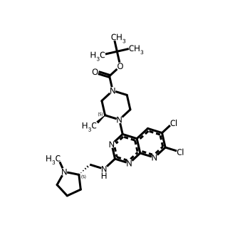 C[C@H]1CN(C(=O)OC(C)(C)C)CCN1c1nc(NC[C@@H]2CCCN2C)nc2nc(Cl)c(Cl)cc12